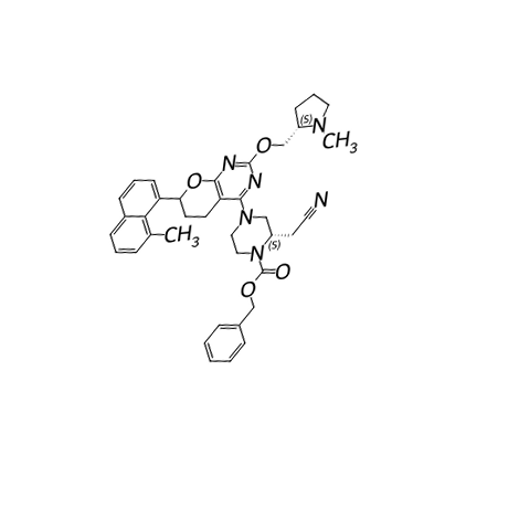 Cc1cccc2cccc(C3CCc4c(nc(OC[C@@H]5CCCN5C)nc4N4CCN(C(=O)OCc5ccccc5)[C@@H](CC#N)C4)O3)c12